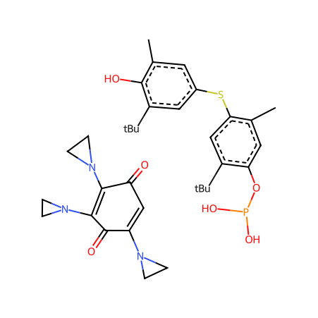 Cc1cc(OP(O)O)c(C(C)(C)C)cc1Sc1cc(C)c(O)c(C(C)(C)C)c1.O=C1C=C(N2CC2)C(=O)C(N2CC2)=C1N1CC1